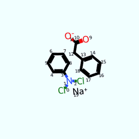 ClN(Cl)c1ccccc1.O=C([O-])Cc1ccccc1.[Na+]